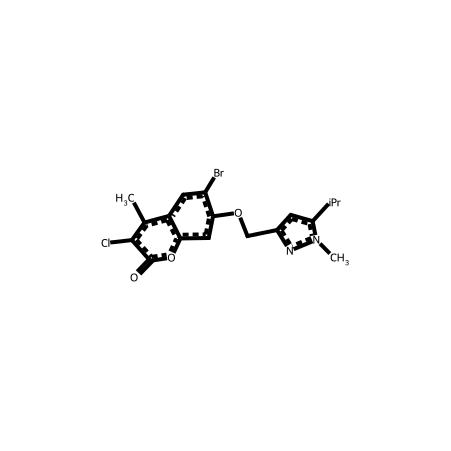 Cc1c(Cl)c(=O)oc2cc(OCc3cc(C(C)C)n(C)n3)c(Br)cc12